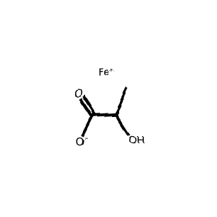 CC(O)C(=O)[O-].[Fe+]